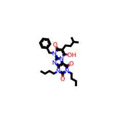 CCCCn1c(=O)c2c(nc3n(Cc4ccccc4)c(=O)c(CCC(C)C)c(O)n23)n(CCCC)c1=O